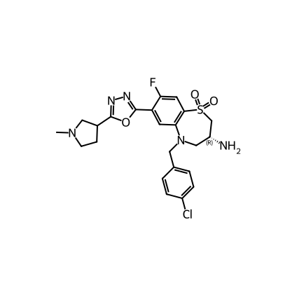 CN1CCC(c2nnc(-c3cc4c(cc3F)S(=O)(=O)C[C@H](N)CN4Cc3ccc(Cl)cc3)o2)C1